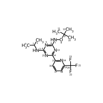 CC(C)Nc1nc(NOC(C)(C)C)nc(-c2cccc(C(F)(F)F)n2)n1